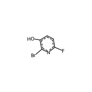 Oc1ccc(F)nc1Br